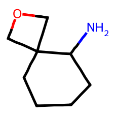 NC1CCCCC12COC2